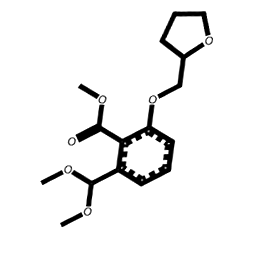 COC(=O)c1c(OCC2CCCO2)cccc1C(OC)OC